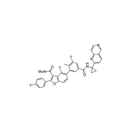 CNC(=O)c1c(-c2ccc(F)cc2)oc2ccc(-c3cc(C(=O)NC4(c5ccc6cnccc6n5)CC4)cc(F)c3C)c(F)c12